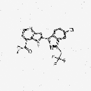 COC(=O)c1ccnc2cc(-c3nn(CC(F)(F)F)c4cc(Cl)ccc34)[nH]c12